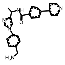 CC(NC(=O)c1ccc(-c2ccncc2)cc1)c1cn(-c2ccc(CN)cc2)cn1